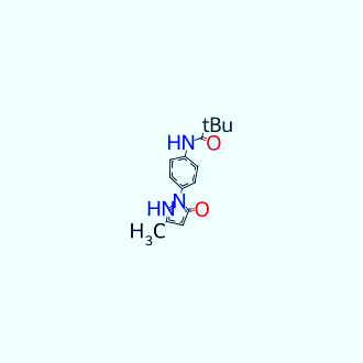 Cc1cc(=O)n(-c2ccc(NC(=O)C(C)(C)C)cc2)[nH]1